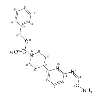 NO/C=N\c1cccc(C2CCN(C(=O)OCc3ccccc3)CC2)n1